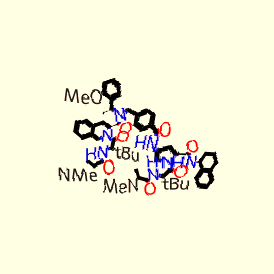 CN[C@@H](C)C(=O)NC(C(=O)N1Cc2ccccc2C[C@H]1C(=O)N(Cc1ccc(C(=O)NC2C[C@@H](C(=O)N[C@@H]3CCCc4ccccc43)N(C(=O)[C@@H](NC(=O)[C@H](C)NC)C(C)(C)C)C2)cc1)[C@H](C)c1ccccc1OC)C(C)(C)C